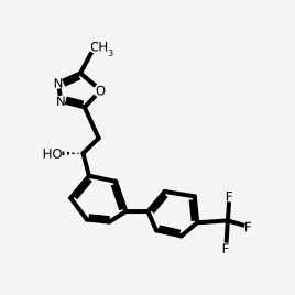 Cc1nnc(C[C@@H](O)c2cccc(-c3ccc(C(F)(F)F)cc3)c2)o1